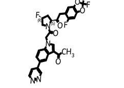 CC(=O)c1cn(CC(=O)N2C[C@H](F)C[C@H]2C(=O)Cc2cc3c(cc2F)OC(F)(F)O3)c2ccc(-c3ccnnc3)cc12